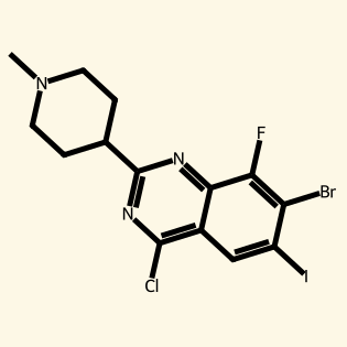 CN1CCC(c2nc(Cl)c3cc(I)c(Br)c(F)c3n2)CC1